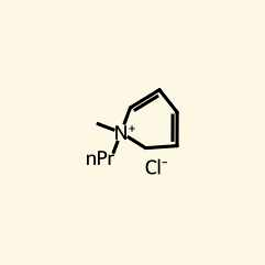 CCC[N+]1(C)C=CC=CC1.[Cl-]